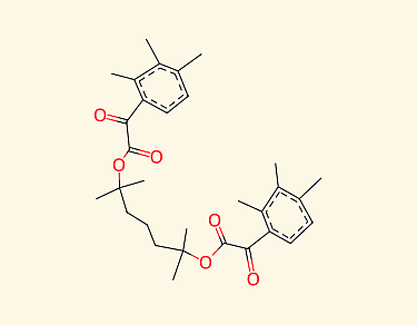 Cc1ccc(C(=O)C(=O)OC(C)(C)CCCC(C)(C)OC(=O)C(=O)c2ccc(C)c(C)c2C)c(C)c1C